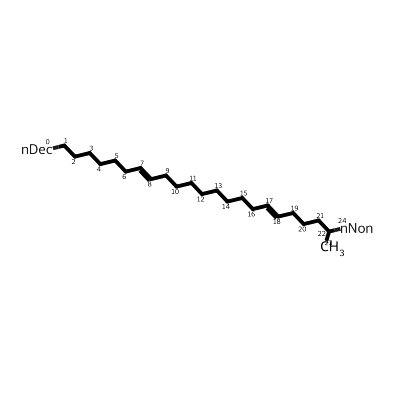 CCCCCCCCCCCCCCCCC=CCCCCCCCCC=CCCCC(C)CCCCCCCCC